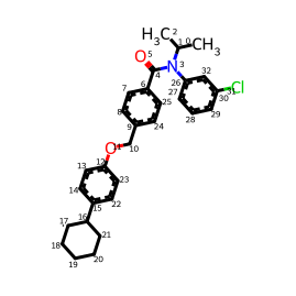 CC(C)N(C(=O)c1ccc(COc2ccc(C3[CH]CCCC3)cc2)cc1)c1cccc(Cl)c1